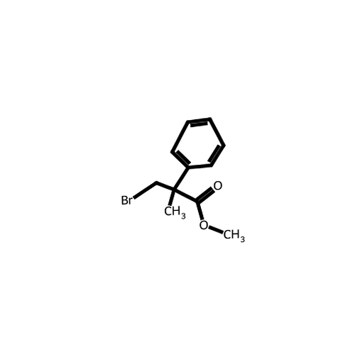 COC(=O)C(C)(CBr)c1ccccc1